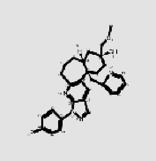 COC[C@]1(O)CC[C@]2(Cc3ccccn3)c3cc4cnn(-c5ccc(F)cc5)c4nc3CCC[C@@H]2C1